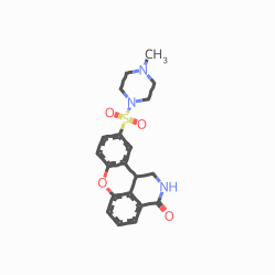 CN1CCN(S(=O)(=O)c2ccc3c(c2)C2CNC(=O)c4cccc(c42)O3)CC1